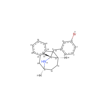 Brc1cccc(C[C@H]2N[C@H]3CC[C@@H]2Cc2ccccc2C3)c1